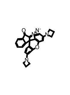 [N-]=[N+]=C1C(=O)c2ccccc2C12c1ccc(N3CCC3)cc1Oc1cc(N3CCC3)ccc12